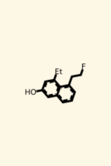 CCc1cc(O)cc2cccc(CCF)c12